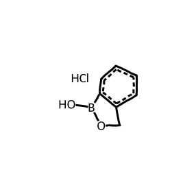 Cl.OB1OCc2ccccc21